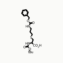 CC(C)(C)OC(=O)NC(CSCCCNC(=O)OCc1ccccc1)C(=O)O